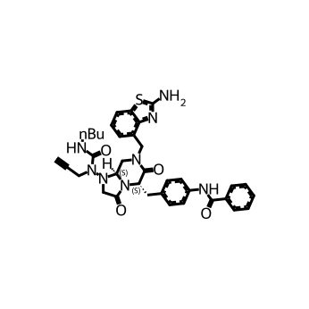 C#CCN(C(=O)NCCCC)N1CC(=O)N2[C@@H](Cc3ccc(NC(=O)c4ccccc4)cc3)C(=O)N(Cc3cccc4sc(N)nc34)C[C@@H]21